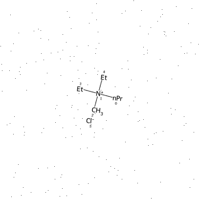 CCC[N+](C)(CC)CC.[Cl-]